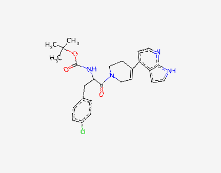 CC(C)(C)OC(=O)NC(Cc1ccc(Cl)cc1)C(=O)N1CC=C(c2ccnc3[nH]ccc23)CC1